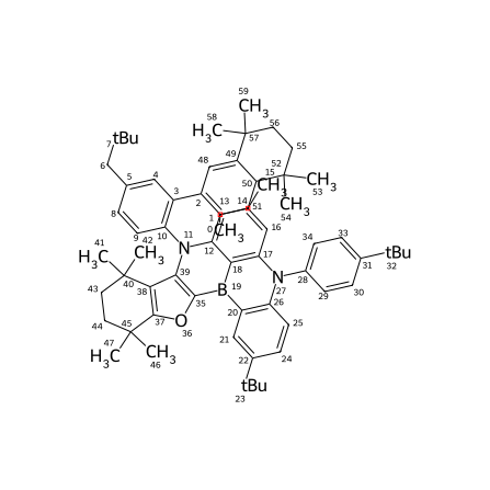 CC1=C(c2cc(CC(C)(C)C)ccc2N2c3cc(C)cc4c3B(c3cc(C(C)(C)C)ccc3N4c3ccc(C(C)(C)C)cc3)c3oc4c(c32)C(C)(C)CCC4(C)C)C=C2C(C1)C(C)(C)CCC2(C)C